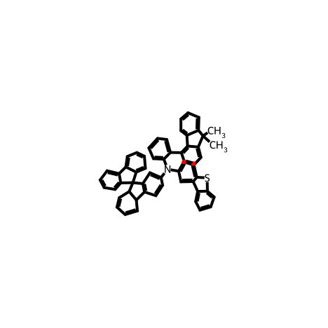 CC1(C)c2ccccc2-c2c(-c3ccccc3N(c3ccc4c(c3)C3(c5ccccc5-c5ccccc53)C3C=CC=CC43)c3ccc4sc5ccccc5c4c3)cccc21